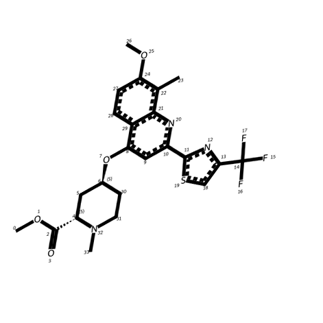 COC(=O)[C@@H]1C[C@@H](Oc2cc(-c3nc(C(F)(F)F)cs3)nc3c(C)c(OC)ccc23)CCN1C